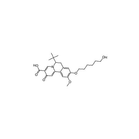 COc1cc2c(cc1OCCCCCCO)CC(C(C)(C)C)n1cc(C(=O)O)c(=O)cc1-2